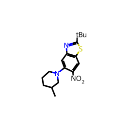 CC1CCCN(c2cc3nc(C(C)(C)C)sc3cc2[N+](=O)[O-])C1